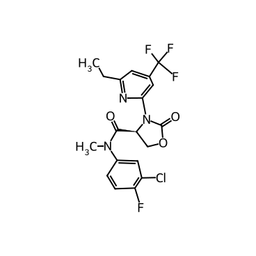 CCc1cc(C(F)(F)F)cc(N2C(=O)OC[C@H]2C(=O)N(C)c2ccc(F)c(Cl)c2)n1